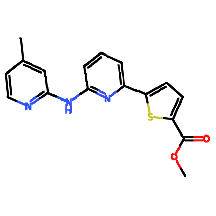 COC(=O)c1ccc(-c2cccc(Nc3cc(C)ccn3)n2)s1